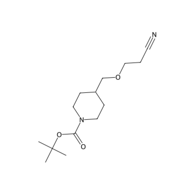 CC(C)(C)OC(=O)N1CCC(COCCC#N)CC1